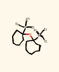 CC[Si](CC)(CC)C1(OC2([Si](CC)(CC)CC)CCCCC2)CCCCC1